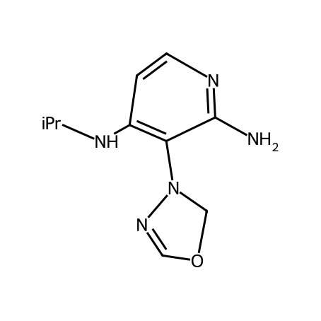 CC(C)Nc1ccnc(N)c1N1COC=N1